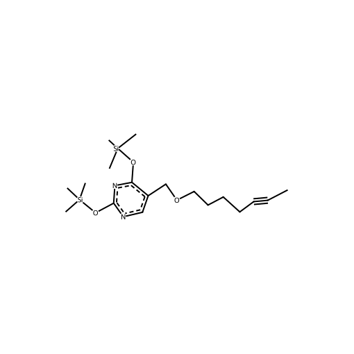 CC#CCCCCOCc1cnc(O[Si](C)(C)C)nc1O[Si](C)(C)C